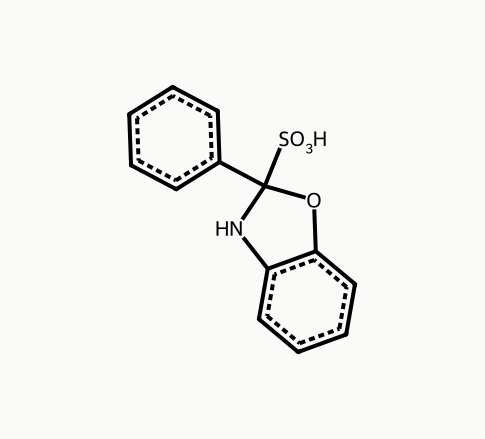 O=S(=O)(O)C1(c2ccccc2)Nc2ccccc2O1